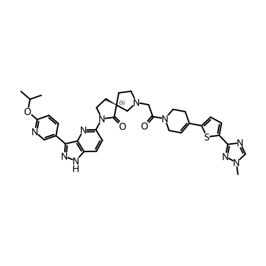 CC(C)Oc1ccc(-c2n[nH]c3ccc(N4CC[C@]5(CCN(CC(=O)N6CC=C(c7ccc(-c8ncn(C)n8)s7)CC6)C5)C4=O)nc23)cn1